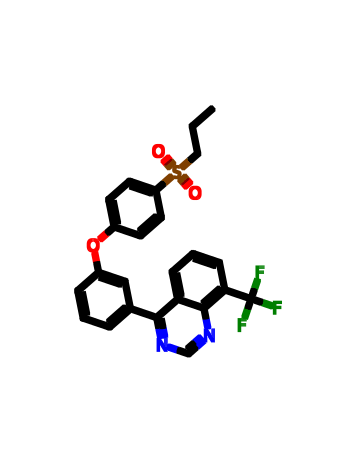 CCCS(=O)(=O)c1ccc(Oc2cccc(-c3ncnc4c(C(F)(F)F)cccc34)c2)cc1